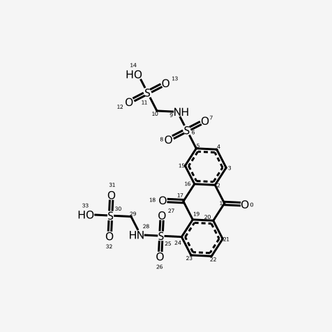 O=C1c2ccc(S(=O)(=O)NCS(=O)(=O)O)cc2C(=O)c2c1cccc2S(=O)(=O)NCS(=O)(=O)O